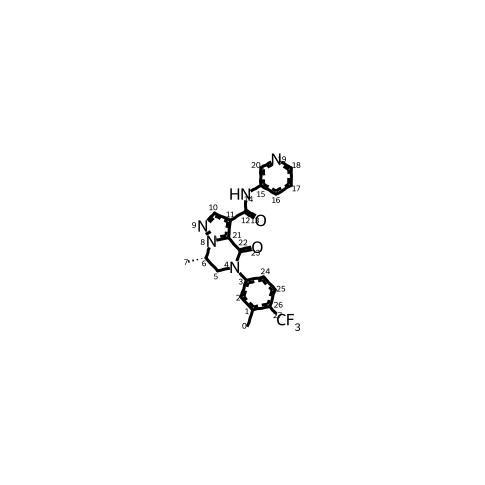 Cc1cc(N2C[C@H](C)n3ncc(C(=O)Nc4cccnc4)c3C2=O)ccc1C(F)(F)F